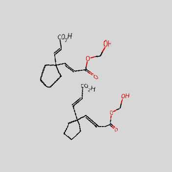 O=C(O)C=CC1(C=CC(=O)OCO)CCCC1.O=C(O)C=CC1(C=CC(=O)OCO)CCCC1